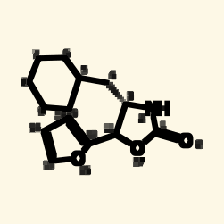 O=C1N[C@@H](CC2CCCCC2)C(c2ccco2)O1